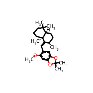 COc1cc2c(cc1/C=C1\[C@H](C)CC[C@H]3C(C)(C)CCC[C@]13C)OC(C)(C)O2